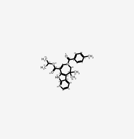 Cc1ccc(C(=O)N2C=C(C(=O)OC(C)C)c3[nH]c4ncccc4c3C(C)(C)C2)cc1